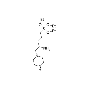 CCO[Si](CCCC(N)CN1CCNCC1)(OCC)OCC